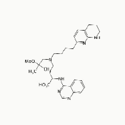 COC(C)(C)CN(CCCCc1ccc2c(n1)NCCC2)CCC(Nc1ncnc2ccccc12)C(=O)O